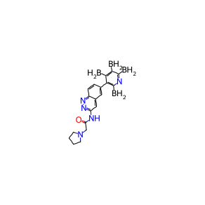 Bc1nc(B)c(-c2ccc3nnc(NC(=O)CN4CCCC4)cc3c2)c(B)c1B